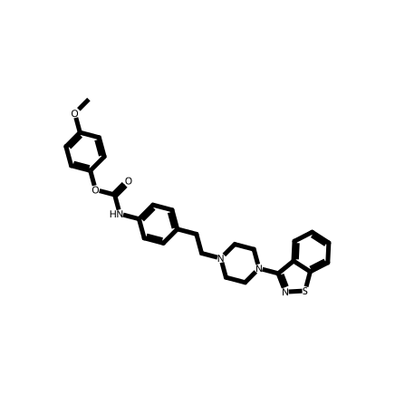 COc1ccc(OC(=O)Nc2ccc(CCN3CCN(c4nsc5ccccc45)CC3)cc2)cc1